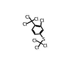 Clc1cc(SC(Cl)(Cl)Cl)ccc1C(Cl)(Cl)Cl